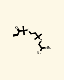 C=CC(=O)C(C)(C)OCCC(C)(C)OCC(CC)CCCC